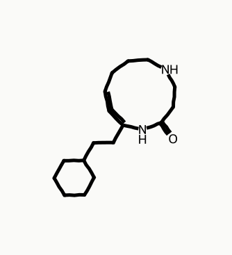 O=C1CCNCCCC=C=C(CCC2CCCCC2)N1